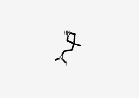 CN(I)CCC1(C)CNC1